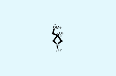 COCC1(O)CN(C(C)C)C1